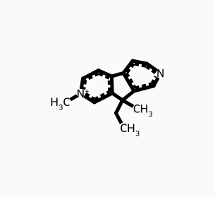 CCC1(C)c2cnccc2-c2cc[n+](C)cc21